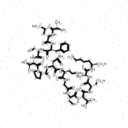 CC[C@H](C)[C@H](NC(=O)[C@H](CC(=O)O)NC(=O)[C@@H](NC(=O)[C@H](CC(C)C)NC(=O)CNC(=O)[C@H](CCSC)NC(=O)[C@H](CC(N)=O)NC(=O)[C@@H]1CCCN1C(=O)[C@@H](NC(=O)[C@H](CC(C)C)NC(=O)[C@H](Cc1ccccc1)NC(=O)[C@H](CCC(=O)O)NC(=O)[C@H](C)N)[C@@H](C)O)[C@@H](C)O)C(=O)N[C@@H](CCCCN)C(=O)O